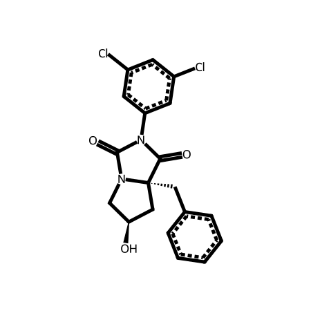 O=C1N(c2cc(Cl)cc(Cl)c2)C(=O)[C@@]2(Cc3ccccc3)C[C@@H](O)CN12